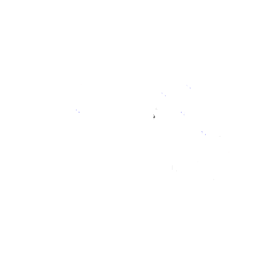 C[C@H](Nc1ncc2ccc(=O)n(CC(C)(C)C)c2n1)c1ccc(C(=O)NC2CCCCC2)cc1